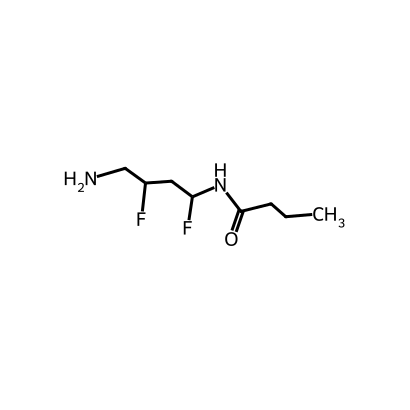 CCCC(=O)NC(F)CC(F)CN